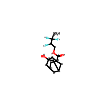 O=C(OCC(F)C(F)(F)S(=O)(=O)O)C12CC3CC(CC(O)(C3)C1)C2